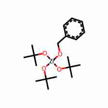 CC(C)(C)[O][Zr]([O]Cc1ccccc1)([O]C(C)(C)C)[O]C(C)(C)C